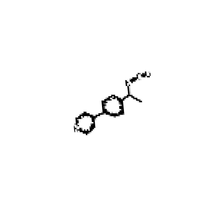 CC(N=C=O)c1ccc(-c2ccncc2)cc1